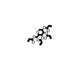 C=CC(=O)OCC1OC[C@@H](OC(=O)C=C)[C@@H](OC(=O)C=C)[C@@H]1OC(=O)C=C